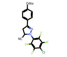 COc1ccc(C2=NN(c3c(F)c(F)c(Cl)c(F)c3F)C(C#N)C2)cc1